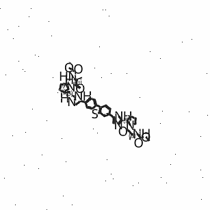 COC(=O)N[C@@H](C)C(=O)N1CCC[C@H]1c1ncc(-c2ccc3c(c2)sc2cc(C4CN=C([C@@H]5[C@H]6CC[C@H](C6)N5C(=O)[C@H](C)NC(=O)OC)N4)ccc23)[nH]1